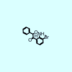 Nc1c(Br)cccc1C(=O)C(O)c1ccccc1